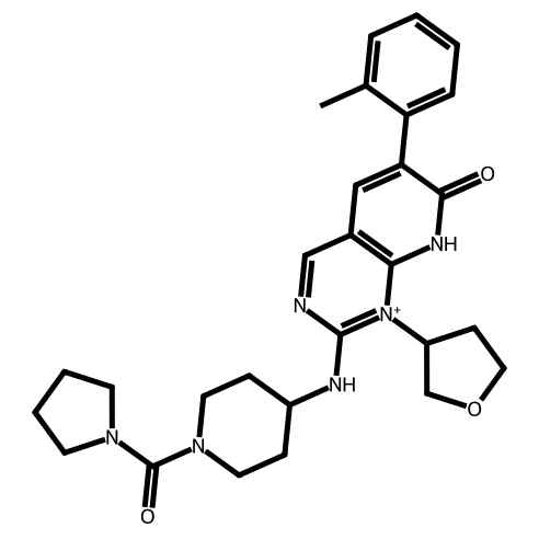 Cc1ccccc1-c1cc2cnc(NC3CCN(C(=O)N4CCCC4)CC3)[n+](C3CCOC3)c2[nH]c1=O